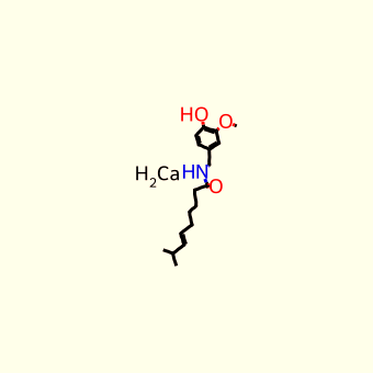 COc1cc(CNC(=O)CCCC/C=C/C(C)C)ccc1O.[CaH2]